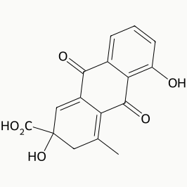 CC1=C2C(=O)c3c(O)cccc3C(=O)C2=CC(O)(C(=O)O)C1